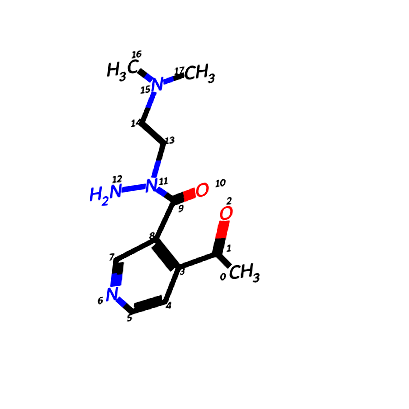 CC(=O)c1ccncc1C(=O)N(N)CCN(C)C